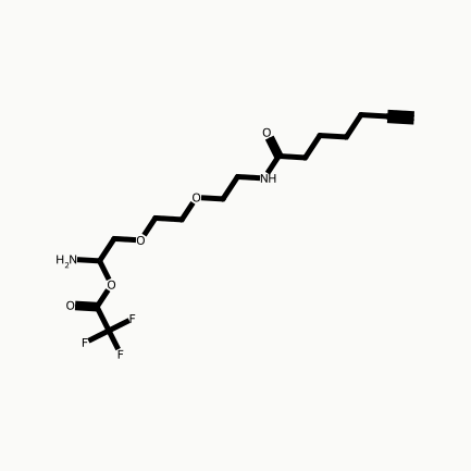 C#CCCCCC(=O)NCCOCCOCC(N)OC(=O)C(F)(F)F